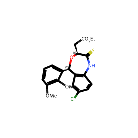 CCOC(=O)C[C@@H]1O[C@H](c2cccc(OC)c2OC)c2cc(Cl)ccc2NC1=S